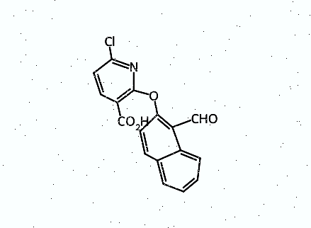 O=Cc1c(Oc2nc(Cl)ccc2C(=O)O)ccc2ccccc12